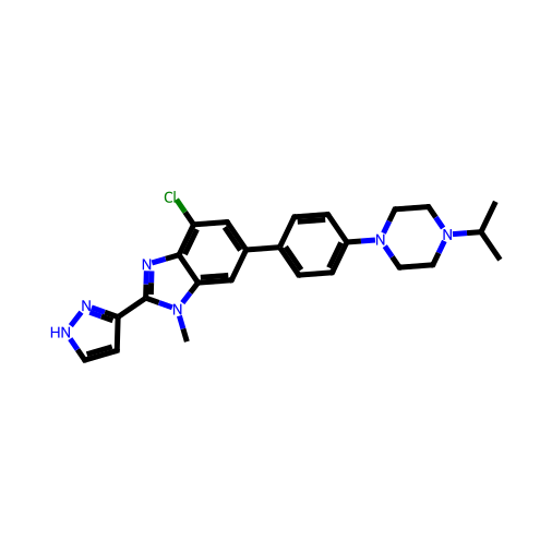 CC(C)N1CCN(c2ccc(-c3cc(Cl)c4nc(-c5cc[nH]n5)n(C)c4c3)cc2)CC1